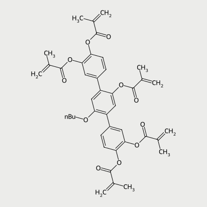 C=C(C)C(=O)Oc1ccc(-c2cc(OC(=O)C(=C)C)c(-c3ccc(OC(=O)C(=C)C)c(OC(=O)C(=C)C)c3)cc2OCCCC)cc1OC(=O)C(=C)C